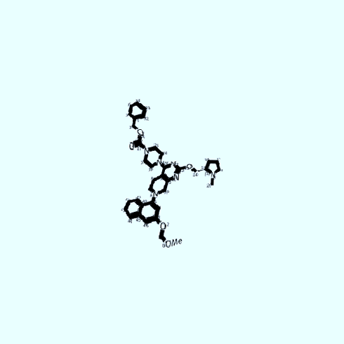 COCOc1cc(N2CCc3c(nc(OC[C@@H]4CCCN4C)nc3N3CCN(C(=O)OCc4ccccc4)CC3)C2)c2ccccc2c1